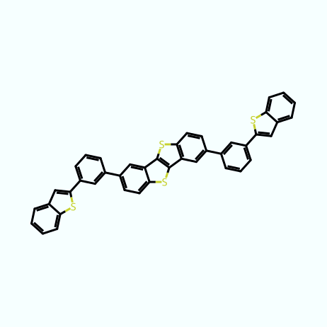 c1cc(-c2ccc3sc4c5cc(-c6cccc(-c7cc8ccccc8s7)c6)ccc5sc4c3c2)cc(-c2cc3ccccc3s2)c1